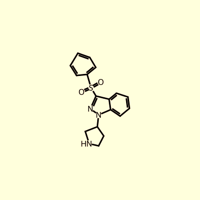 O=S(=O)(c1ccccc1)c1nn(C2CCNC2)c2ccccc12